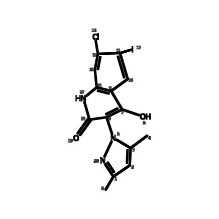 Cc1cc(C)n(-c2c(O)c3cc(I)c(Cl)cc3[nH]c2=O)n1